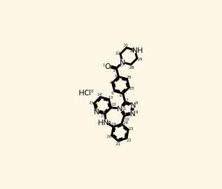 Cl.O=C(c1ccc(-c2nnc3n2-c2cccnc2Nc2ccccc2-3)cc1)N1CCNCC1